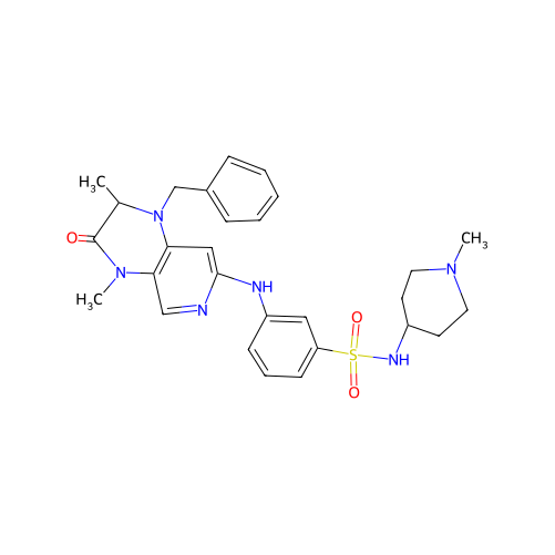 CC1C(=O)N(C)c2cnc(Nc3cccc(S(=O)(=O)NC4CCN(C)CC4)c3)cc2N1Cc1ccccc1